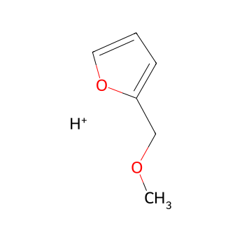 COCc1ccco1.[H+]